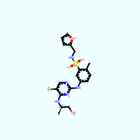 Cc1ccc(Nc2ncc(Br)c(N[C@H](C)CO)n2)cc1S(=O)(=O)NCc1ccco1